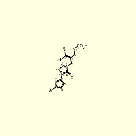 O=C(O)NCC(Cn1nnn(-c2ccc(Br)s2)c1=O)=C(F)F